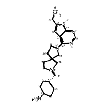 N[C@H]1CC[C@H](CN2CCC3(CCN(c4ncnc5sc(CC(F)(F)F)cc45)C3)C2)CC1